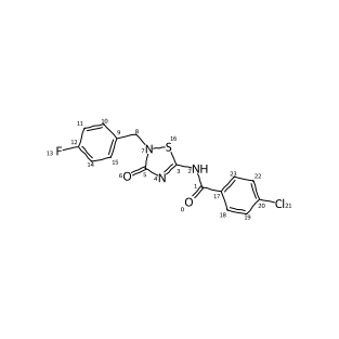 O=C(Nc1nc(=O)n(Cc2ccc(F)cc2)s1)c1ccc(Cl)cc1